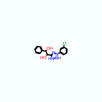 OC(C1=NN(c2cccc(Cl)c2)NN1)C(O)c1ccccc1